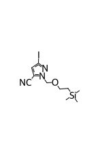 C[Si](C)(C)CCOCn1nc(I)cc1C#N